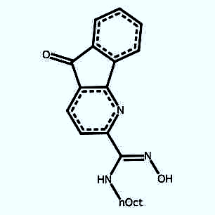 CCCCCCCCNC(=NO)c1ccc2c(n1)-c1ccccc1C2=O